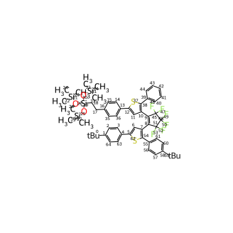 CC(C)(C)c1ccc(-c2cc(C3=C(c4cc(-c5ccc(CC[Si](O[Si](C)(C)C)(O[Si](C)(C)C)O[Si](C)(C)C)cc5)sc4-c4ccccc4)C(F)(F)C(F)(F)C3(F)F)c(-c3ccc(C(C)(C)C)cc3)s2)cc1